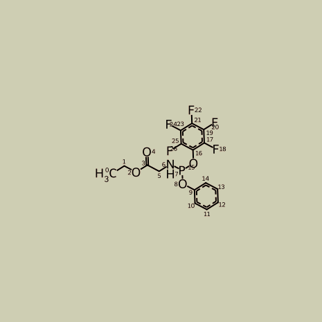 CCOC(=O)CNP(Oc1ccccc1)Oc1c(F)c(F)c(F)c(F)c1F